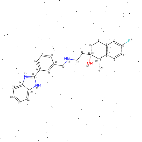 CC(C)[C@H]1c2ccc(F)cc2CC[C@]1(O)CCNCc1cccc(-c2nc3ccccc3[nH]2)c1